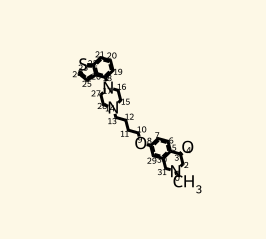 CN1CC(=O)c2ccc(OCCCCN3CCN(c4cccc5sccc45)CC3)cc2C1